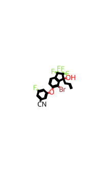 C=CCC1(O)c2c(ccc(Oc3cc(F)cc(C#N)c3)c2Br)C(F)(F)C1(F)F